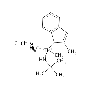 CC1=Cc2ccccc2[CH]1[Ti+2]([CH3])([CH3])[NH]C(C)(C)C.[Cl-].[Cl-].[SiH4]